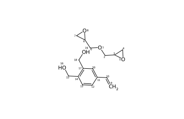 C(OCC1CO1)C1CO1.C=Cc1ccc(CO)c(CO)c1